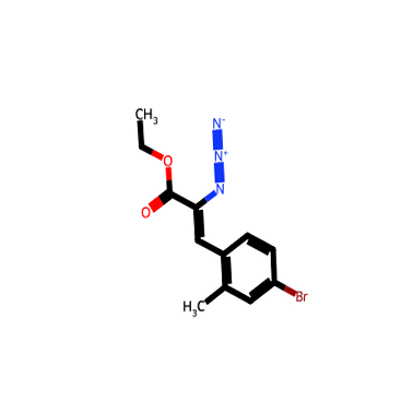 CCOC(=O)C(=Cc1ccc(Br)cc1C)N=[N+]=[N-]